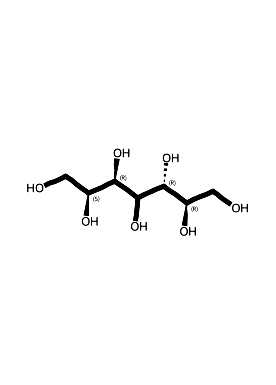 OC[C@@H](O)[C@@H](O)C(O)[C@H](O)[C@@H](O)CO